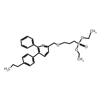 CCCc1ccc(-c2ccc(COCCCP(=O)(OCC)OCC)nc2-c2ccccc2)cc1